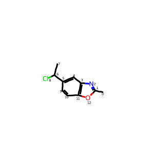 Cc1nc2cc(C(C)Cl)ccc2o1